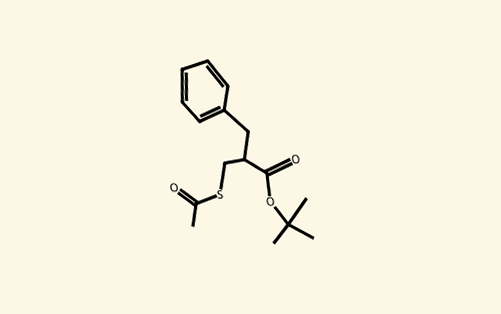 CC(=O)SCC(Cc1ccccc1)C(=O)OC(C)(C)C